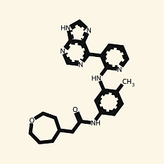 Cc1ccc(NC(=O)CC2CCCOCC2)cc1Nc1ncccc1-c1ncnc2[nH]cnc12